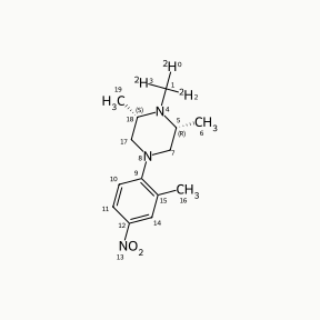 [2H]C([2H])([2H])N1[C@H](C)CN(c2ccc([N+](=O)[O-])cc2C)C[C@@H]1C